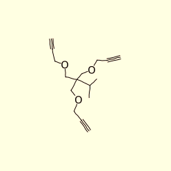 C#CCOCC(COCC#C)(COCC#C)C(C)C